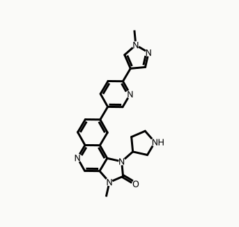 Cn1cc(-c2ccc(-c3ccc4ncc5c(c4c3)n(C3CCNC3)c(=O)n5C)cn2)cn1